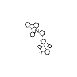 CC1(C)c2ccccc2C2(c3ccccc3-c3cc(-c4cccc(N5c6ccccc6C6(C)c7ccccc7-c7cccc5c76)c4)ccc32)c2ccccc21